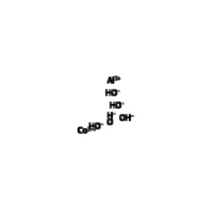 [Al+3].[Co+2].[OH-].[OH-].[OH-].[OH-].[OH-]